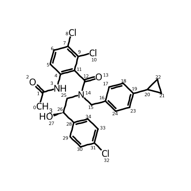 CC(=O)Nc1ccc(Cl)c(Cl)c1C(=O)N(Cc1ccc(C2CC2)cc1)C[C@H](O)c1ccc(Cl)cc1